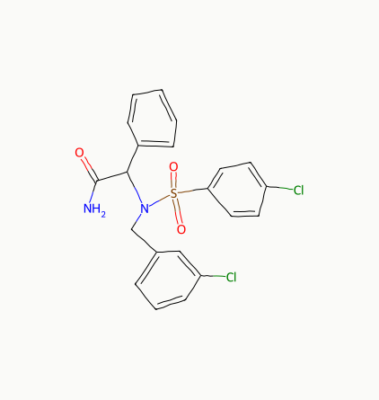 NC(=O)C(c1ccccc1)N(Cc1cccc(Cl)c1)S(=O)(=O)c1ccc(Cl)cc1